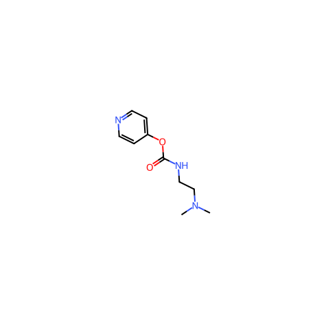 CN(C)CCNC(=O)Oc1ccncc1